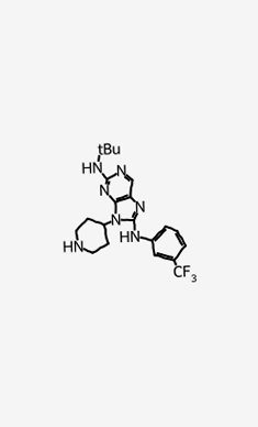 CC(C)(C)Nc1ncc2nc(Nc3cccc(C(F)(F)F)c3)n(C3CCNCC3)c2n1